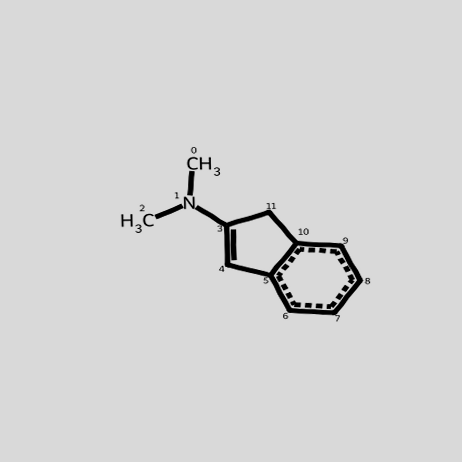 CN(C)C1=Cc2ccccc2C1